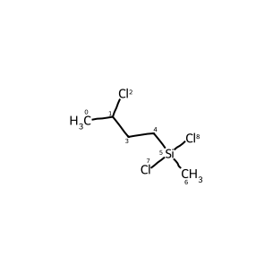 CC(Cl)CC[Si](C)(Cl)Cl